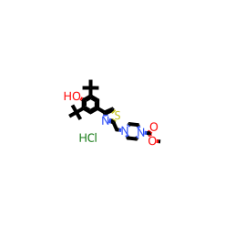 COC(=O)N1CCN(Cc2nc(-c3cc(C(C)(C)C)c(O)c(C(C)(C)C)c3)cs2)CC1.Cl